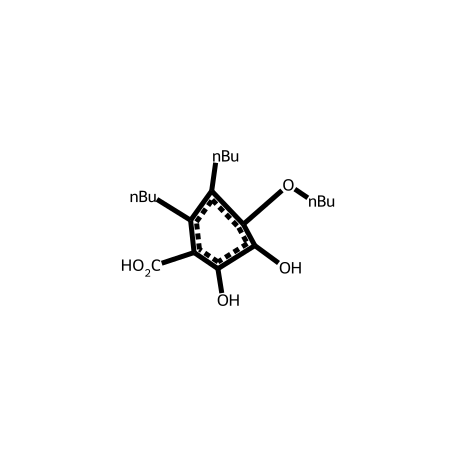 CCCCOc1c(O)c(O)c(C(=O)O)c(CCCC)c1CCCC